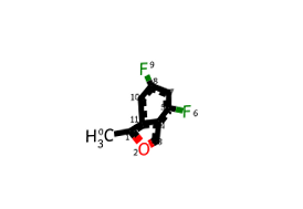 Cc1occ2c(F)cc(F)cc12